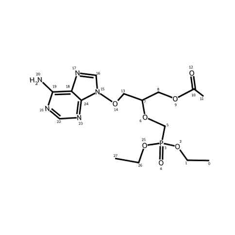 CCOP(=O)(COC(COC(C)=O)COn1cnc2c(N)ncnc21)OCC